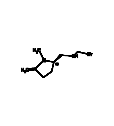 C=C1CC[C@H](CNCC(C)C)N1C